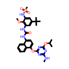 CNc1nc(Oc2ccc(NC(=O)Nc3cc(C(C)(C)C)cc(NS(C)(=O)=O)c3OC)c3ccccc23)nc(OC(C)C)n1